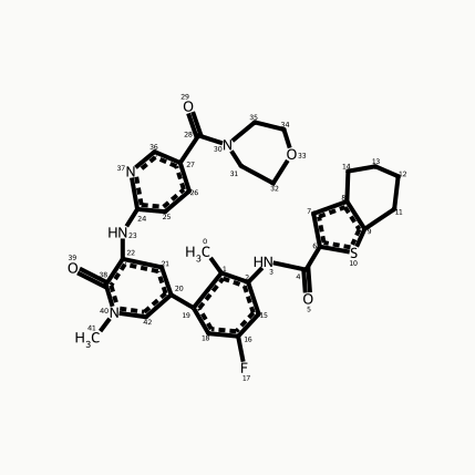 Cc1c(NC(=O)c2cc3c(s2)CCCC3)cc(F)cc1-c1cc(Nc2ccc(C(=O)N3CCOCC3)cn2)c(=O)n(C)c1